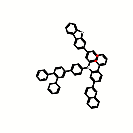 C1=CCC(c2cc(-c3ccc(N(c4cccc(-c5ccc6c(c5)oc5ccccc56)c4)c4cc(-c5ccc6ccccc6c5)ccc4-c4ccccc4)cc3)ccc2-c2ccccc2)C=C1